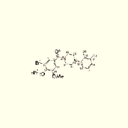 CCCOc1c(Br)cc(C(=O)N2CCN(c3cccc(C)c3C)CC2)cc1OC